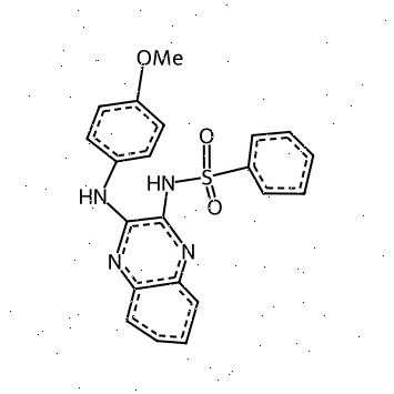 COc1ccc(Nc2nc3ccccc3nc2NS(=O)(=O)c2ccccc2)cc1